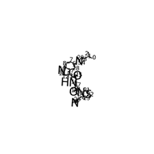 CC(C)C1CN(c2ccc3nccc(C(=O)NCC(=O)N4CSCC4C#N)c3c2)C1